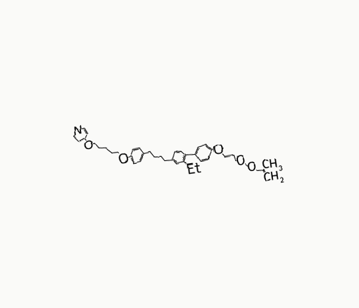 C=C(C)COCOCCCOc1ccc(-c2ccc(CCCCc3ccc(OCCCCCOc4ccncc4)cc3)cc2CC)cc1